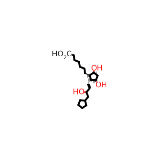 O=C(O)CCCCCC[C@@H]1[C@@H](C=CC(O)CC2CCCC2)[C@H](O)C[C@@H]1O